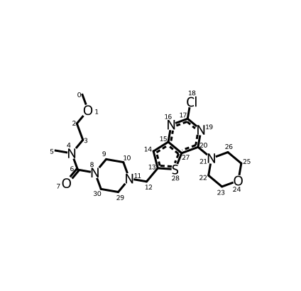 COCCN(C)C(=O)N1CCN(Cc2cc3nc(Cl)nc(N4CCOCC4)c3s2)CC1